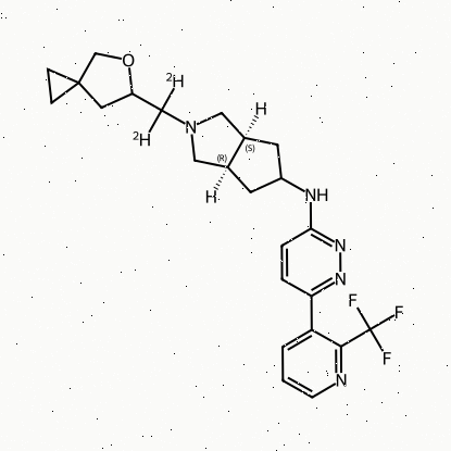 [2H]C([2H])(C1CC2(CC2)CO1)N1C[C@H]2CC(Nc3ccc(-c4cccnc4C(F)(F)F)nn3)C[C@H]2C1